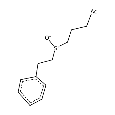 CC(=O)CCC[S+]([O-])CCc1ccccc1